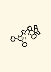 C1=C(C2=NC(c3ccccc3)=CC(c3ccccc3)N2)SC(c2cccc3c2Oc2ccccc2C32c3ccccc3-c3ccccc32)C1